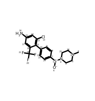 CN1CCN([S+]([O-])c2ccc(-c3c(Cl)cc(N)cc3C(F)(F)F)cc2)CC1